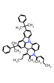 C=C(/C=C\CC)N1C(=C)/C(=C\CC)B2c3c1cccc3-n1c3ccc(C(C)(C)c4ccccc4)cc3c3cc(C(C)(C)c4ccccc4)cc2c31